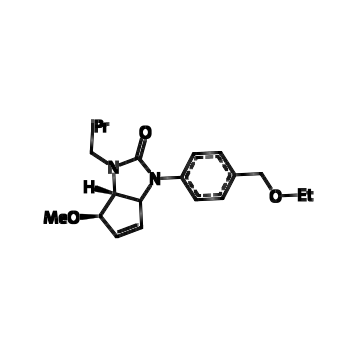 CCOCc1ccc(N2C(=O)N(CC(C)C)[C@@H]3C2C=C[C@H]3OC)cc1